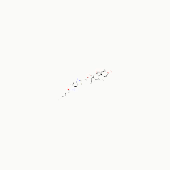 CCCCCCC(=O)Nc1ccc2nc(SCC(=O)C3CCC4C5CCC6=CC(=O)C=CC6(C)C5[C@@H](O)CC34C)sc2c1